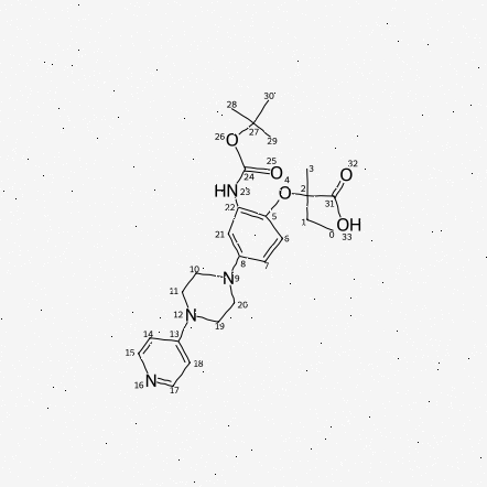 CCC(C)(Oc1ccc(N2CCN(c3ccncc3)CC2)cc1NC(=O)OC(C)(C)C)C(=O)O